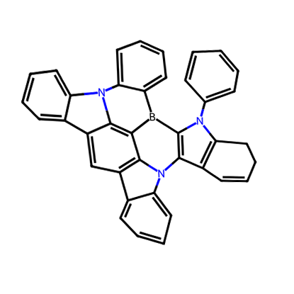 C1=Cc2c3c(n(-c4ccccc4)c2CC1)B1c2ccccc2-n2c4ccccc4c4cc5c6ccccc6n-3c5c1c42